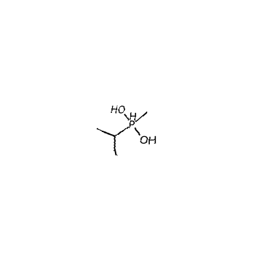 CC(C)[PH](C)(O)O